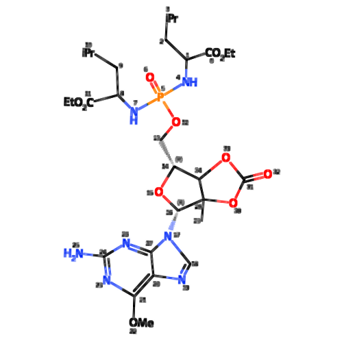 CCOC(=O)C(CC(C)C)NP(=O)(NC(CC(C)C)C(=O)OCC)OC[C@H]1O[C@@H](n2cnc3c(OC)nc(N)nc32)C2(C)OC(=O)OC12